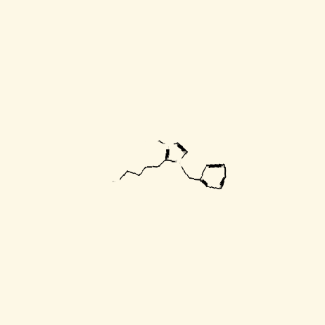 CCCCCCCCCCCCCCc1n(Cc2ccccc2)cc[n+]1CCCCC